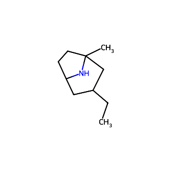 CCC1CC2CCC(C)(C1)N2